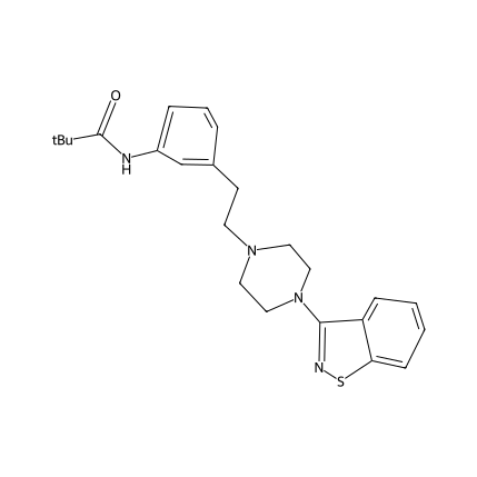 CC(C)(C)C(=O)Nc1cccc(CCN2CCN(c3nsc4ccccc34)CC2)c1